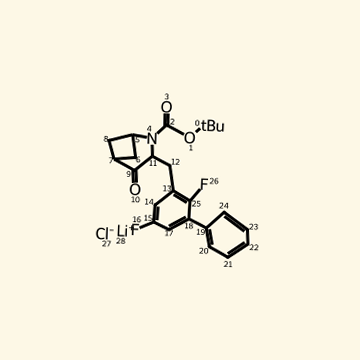 CC(C)(C)OC(=O)N1C2CC(C2)C(=O)C1Cc1cc(F)cc(-c2ccccc2)c1F.[Cl-].[Li+]